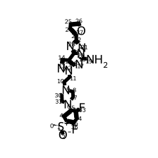 C[S@@+]([O-])c1cc(N2CCN(CCn3ncc4c3nc(N)n3nc(-c5ccco5)nc43)CC2)c(F)cc1F